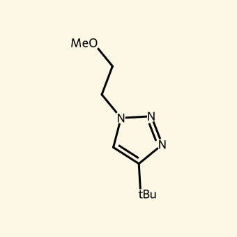 COCCn1cc(C(C)(C)C)nn1